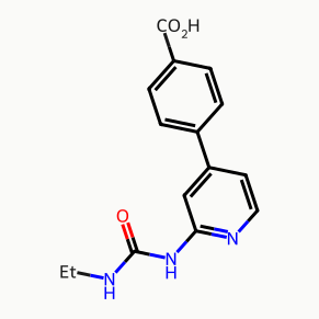 CCNC(=O)Nc1cc(-c2ccc(C(=O)O)cc2)ccn1